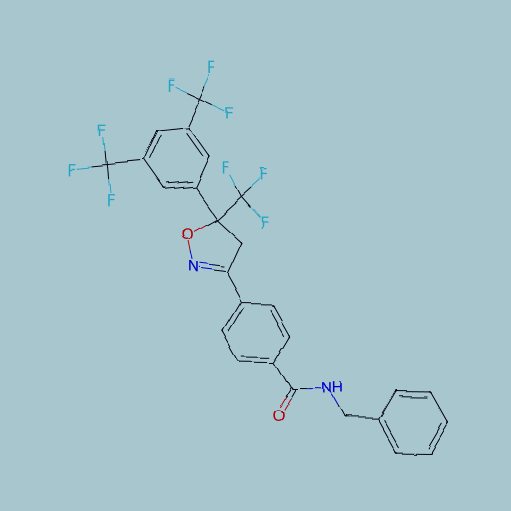 O=C(NCc1ccccc1)c1ccc(C2=NOC(c3cc(C(F)(F)F)cc(C(F)(F)F)c3)(C(F)(F)F)C2)cc1